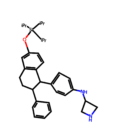 CC(C)[Si](Oc1ccc2c(c1)CCC(c1ccccc1)C2c1ccc(NC2CNC2)cc1)(C(C)C)C(C)C